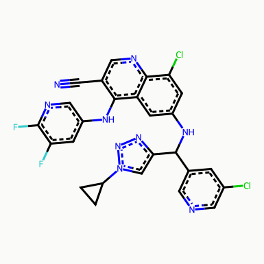 N#Cc1cnc2c(Cl)cc(NC(c3cncc(Cl)c3)c3cn(C4CC4)nn3)cc2c1Nc1cnc(F)c(F)c1